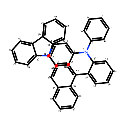 c1ccc(N(c2ccccc2)c2ccccc2-c2cc(-n3c4ccccc4c4ccccc43)cc3ccccc23)cc1